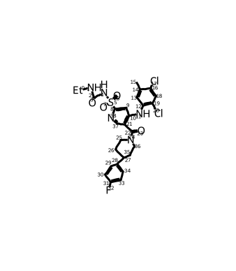 CCNC(=O)NS(=O)(=O)c1cc(Nc2cc(C)c(Cl)cc2Cl)c(C(=O)N2CCC(c3ccc(F)cc3)CC2)cn1